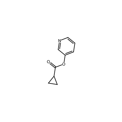 O=C(Oc1cccnc1)C1CC1